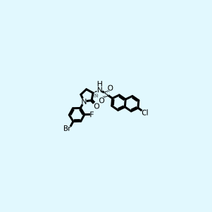 O=C1[C@@H](NS(=O)(=O)c2ccc3cc(Cl)ccc3c2)CCN1c1ccc(Br)cc1F